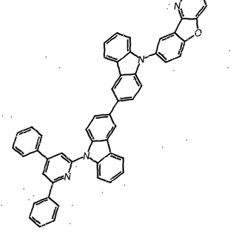 c1ccc(-c2cc(-c3ccccc3)nc(-n3c4ccccc4c4cc(-c5ccc6c(c5)c5ccccc5n6-c5ccc6oc7cccnc7c6c5)ccc43)c2)cc1